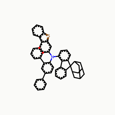 c1ccc(-c2ccc(N(c3ccc4c(c3)sc3ccccc34)c3cccc4c3-c3ccccc3C43C4CC5CC(C4)CC3C5)c(-c3ccccc3)c2)cc1